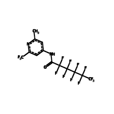 Cc1cc(NC(=O)C(F)(F)C(F)(F)C(F)(F)C(F)(F)C(F)(F)F)cc(C(F)(F)F)n1